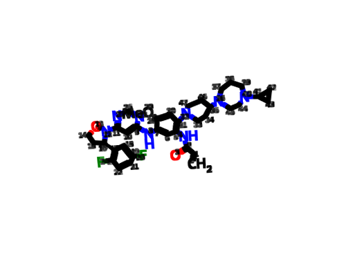 C=CC(=O)Nc1cc(Nc2cc(N3OCC[C@@H]3c3cc(F)ccc3F)ncn2)c(OC)cc1N1CCC(N2CCCN(C3CC3)CC2)CC1